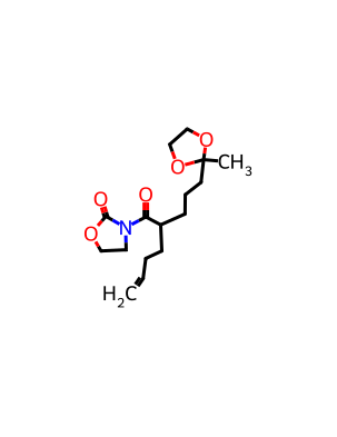 C=CCCC(CCCC1(C)OCCO1)C(=O)N1CCOC1=O